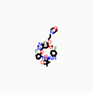 COc1cc2c(Oc3c(F)cccc3NC(=O)C3(C(=O)Nc4ccc(F)cc4)CC3(C)C)ncnc2cc1OCCCN1CCOCC1